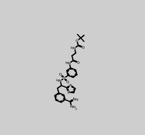 CC(C)(C)OC(=O)NCCC(=O)Nc1cccc(S(=O)(=O)NC(Cc2cccc(C(=N)N)c2)c2nccs2)c1